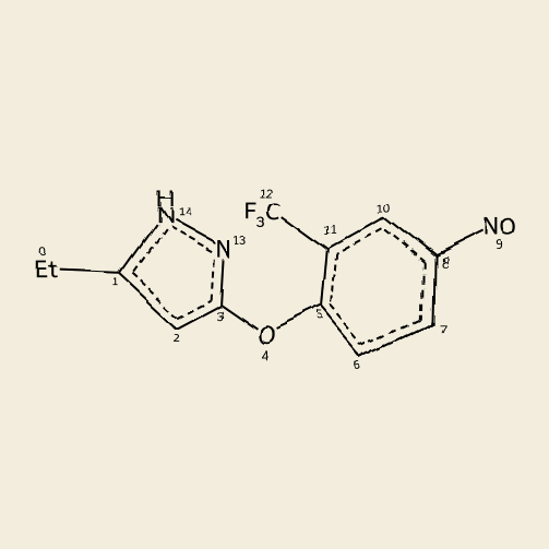 CCc1cc(Oc2ccc(N=O)cc2C(F)(F)F)n[nH]1